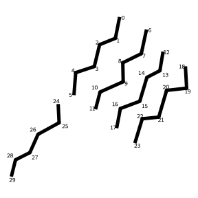 CCCCCC.CCCCCC.CCCCCC.CCCCCC.CCCCCC